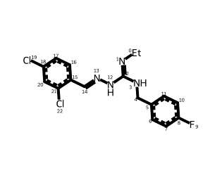 CC/N=C(\NCc1ccc(F)cc1)N/N=C/c1ccc(Cl)cc1Cl